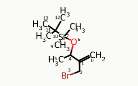 C=C(CBr)C(C)O[Si](C)(C)C(C)(C)C